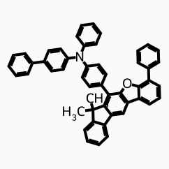 CC1(C)c2ccccc2-c2cc3c(oc4c(-c5ccccc5)cccc43)c(-c3ccc(N(c4ccccc4)c4ccc(-c5ccccc5)cc4)cc3)c21